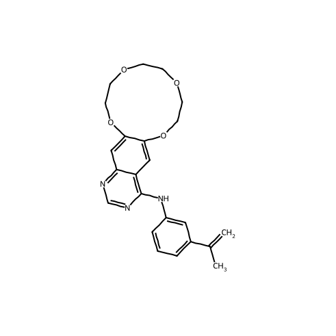 C=C(C)c1cccc(Nc2ncnc3cc4c(cc23)OCCOCCOCCO4)c1